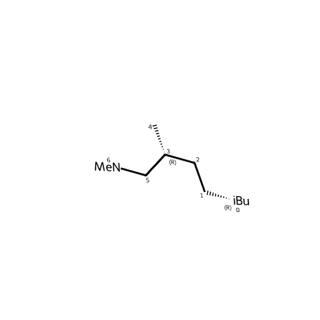 CC[C@@H](C)CC[C@@H](C)CNC